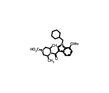 COc1cccc2c(C(=O)N3C(C)CN(C(=O)O)CC3C)cn(CC3CCCCC3)c12